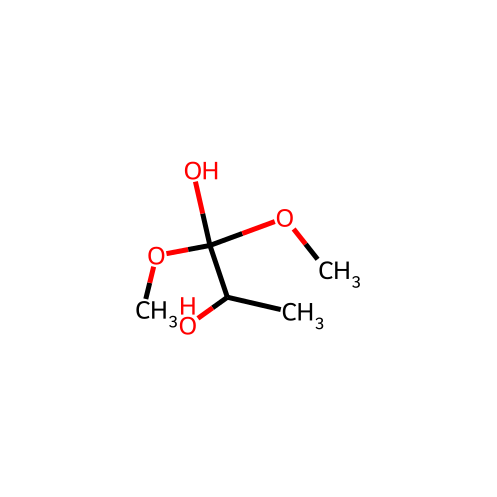 COC(O)(OC)C(C)O